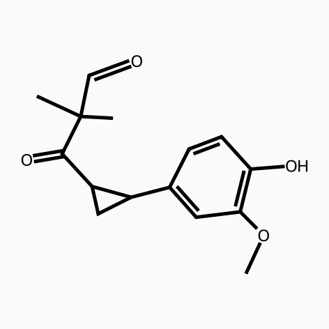 COc1cc(C2CC2C(=O)C(C)(C)C=O)ccc1O